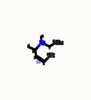 CC/C=C\C(C)N(C)CC(C)CC